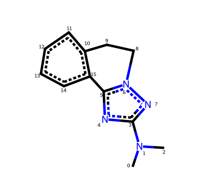 CN(C)c1nc2n(n1)CCc1ccccc1-2